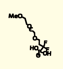 COCCOCCOCCC(F)(F)P(=O)(O)O